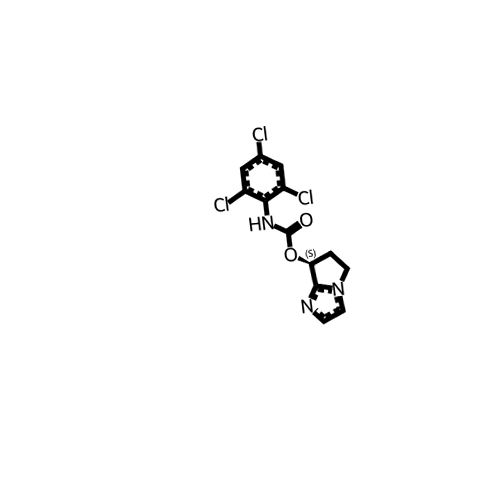 O=C(Nc1c(Cl)cc(Cl)cc1Cl)O[C@H]1CCn2ccnc21